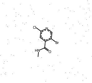 CNC(=O)c1cc(Cl)ncc1Br